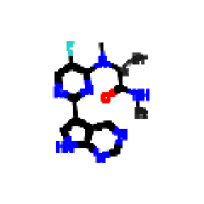 CCNC(=O)[C@@H](C(C)C)N(C)c1nc(-c2c[nH]c3ncncc23)ncc1F